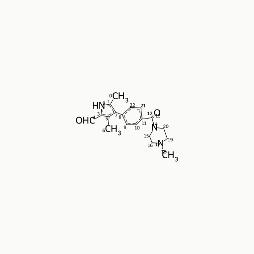 Cc1[nH]c(C=O)c(C)c1-c1ccc(C(=O)N2CCN(C)CC2)cc1